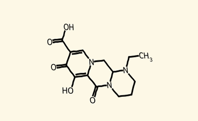 CCN1CCCN2C(=O)c3c(O)c(=O)c(C(=O)O)cn3CC12